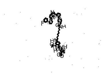 CC(=O)Nc1cc(NCCCCCCCCNC(=O)CN2CCN(c3cccc(-c4cnc5ccc(N6CCC[C@@H]6c6cccc(F)c6)nn45)n3)CC2)ccc1C(=O)Nc1nc(C)c([N+](=O)[O-])s1